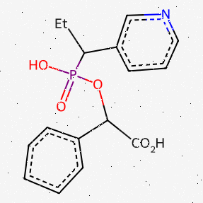 CCC(c1cccnc1)P(=O)(O)OC(C(=O)O)c1ccccc1